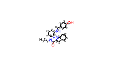 CCN(C(=O)c1cc2ccccc2[nH]1)[C@@H]1C=C(NCc2ccc(O)cc2)CCC1